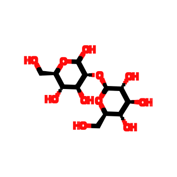 OC[C@H]1O[C@@H](O[C@H]2C(O)O[C@H](CO)[C@@H](O)[C@@H]2O)[C@H](O)[C@@H](O)[C@@H]1O